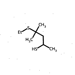 CCSC(C)(C)CC(C)S